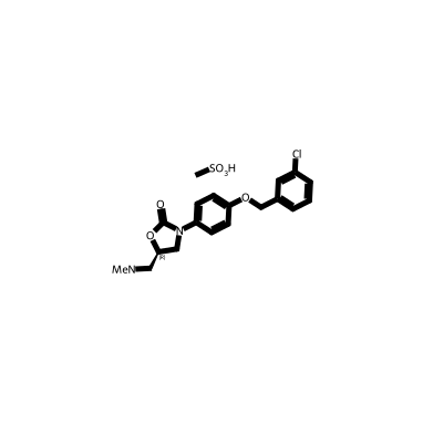 CNC[C@@H]1CN(c2ccc(OCc3cccc(Cl)c3)cc2)C(=O)O1.CS(=O)(=O)O